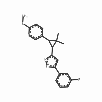 CC1(C)C(c2ccc(SN)nc2)C1c1cc(-c2cccc(F)c2)on1